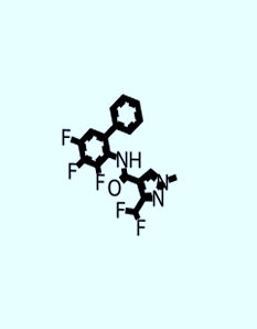 Cn1cc(C(=O)Nc2c(-c3ccccc3)cc(F)c(F)c2F)c(C(F)F)n1